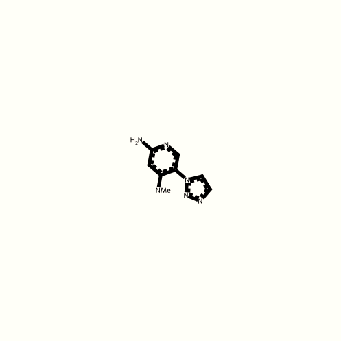 CNc1cc(N)ncc1-n1ccnn1